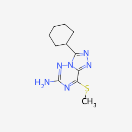 CSc1nc(N)nn2c(C3CCCCC3)nnc12